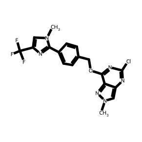 Cn1cc2nc(Cl)nc(OCc3ccc(-c4nc(C(F)(F)F)cn4C)cc3)c2n1